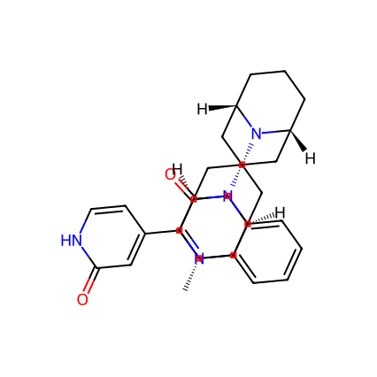 C[C@@H]1C[C@@H]2C[C@H](C1)C[C@@H](N1[C@@H]3CCC[C@H]1C[C@@H](n1c(=O)c(-c4cc[nH]c(=O)c4)nc4ccccc41)C3)C2